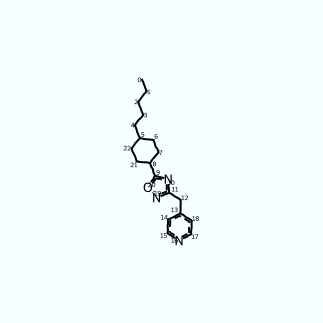 CCCCCC1CCC(c2nc(Cc3ccncc3)no2)CC1